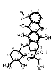 COc1cccc2c1C(=O)c1c(O)c3c(c(O)c1C2=O)C[C@@](O)(C(=O)CO)CC3OC1CCC(N)C(O)C1C